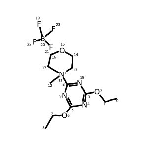 CCOc1nc(OCC)nc([N+]2(C)CCOCC2)n1.F[B-](F)(F)F